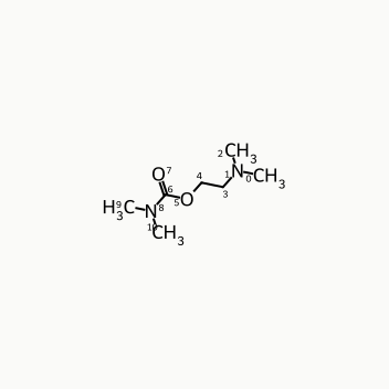 CN(C)CCOC(=O)N(C)C